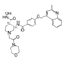 Cc1cc(COc2ccc(C(=O)N[C@@H]3CN(CC(=O)N4CCOCC4)CC[C@@H]3C(=O)NO)cc2)c2ccccc2n1